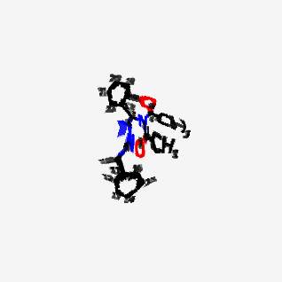 CC(=O)N(C(C)=O)C(N=NCc1ccccc1)c1ccccc1